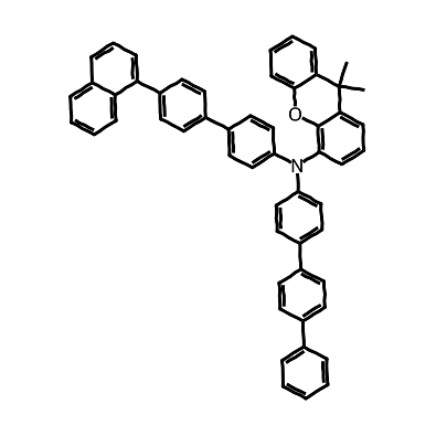 CC1(C)c2ccccc2Oc2c(N(c3ccc(-c4ccc(-c5ccccc5)cc4)cc3)c3ccc(-c4ccc(-c5cccc6ccccc56)cc4)cc3)cccc21